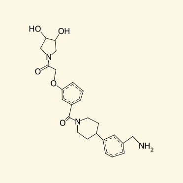 NCc1cccc(C2CCN(C(=O)c3cccc(OCC(=O)N4CC(O)C(O)C4)c3)CC2)c1